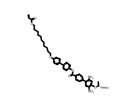 C=CC(=O)OCCCCCCCCCCCOc1ccc(-c2ccc(OC(=O)c3ccc(-c4cc([N+](=O)[O-])c(O[C@H](C)CCCCCC)cc4N)cc3)cc2)cc1